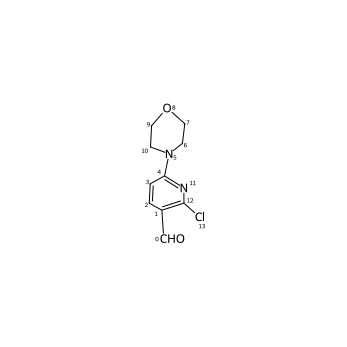 O=Cc1ccc(N2CCOCC2)nc1Cl